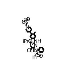 Cc1cc(Nc2ncc(Cl)c(Nc3ccccc3S(=O)(=O)C(C)C)n2)c(OC(C)C)cc1C1CCN(CCS(C)(=O)=O)CC1